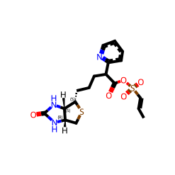 CC=CS(=O)(=O)OC(=O)C(CCC[C@@H]1SC[C@@H]2NC(=O)N[C@@H]21)c1ccccn1